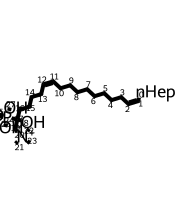 CCCCCCC/C=C\CCCCCCCC/C=C\CCCCC(O)(C[N+](C)(C)C)P(=O)(O)O